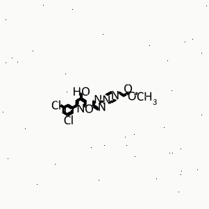 CCOC(=O)CCN1CCN(c2ncc(Oc3cc(CO)cc(-c4cc(Cl)cc(Cl)c4)n3)cn2)CC1